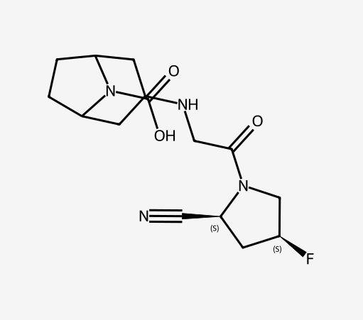 N#C[C@@H]1C[C@H](F)CN1C(=O)CNC1CC2CCC(C1)N2C(=O)O